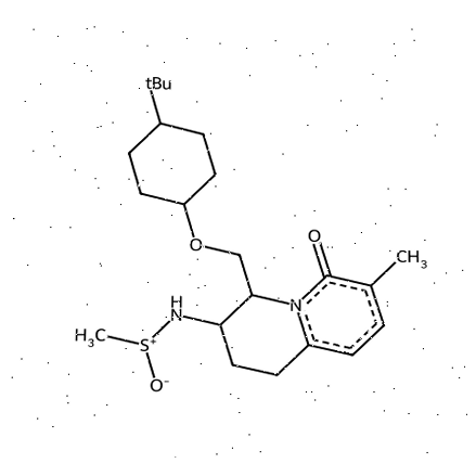 Cc1ccc2n(c1=O)C(COC1CCC(C(C)(C)C)CC1)C(N[S+](C)[O-])CC2